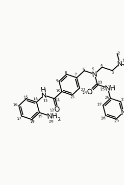 CN(C)CCN(Cc1ccc(C(=O)Nc2ccccc2N)cc1)C(=O)Nc1cccnc1